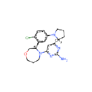 Cc1cc(N2CCCOC[C@H]2c2cc(N3CCCC3)ccc2Cl)nc(N)n1